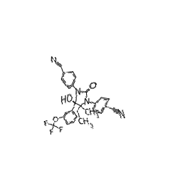 CCC1(C)N(c2ccc(C#N)cc2)C(=O)N(c2ccc(C#N)cc2)C1(O)c1cccc(OC(F)(F)F)c1